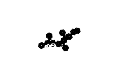 c1ccc(-c2cc3c(s2)c2sc(-c4ccc5c(c4)c4cc6c(cc4n5-c4ccccc4)c4ccc(-c5ccc7ccccc7c5)cc4n6-c4ccccc4)cc2n3-c2ccccc2)cc1